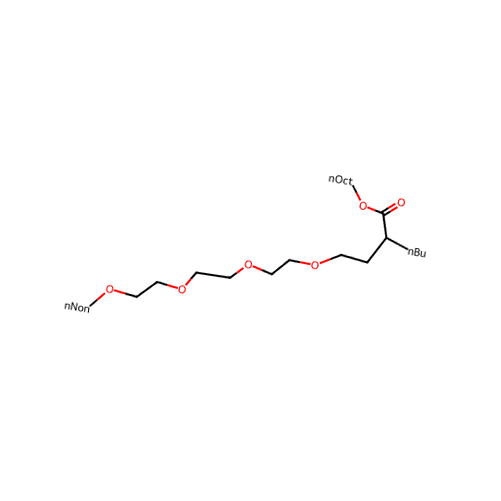 CCCCCCCCCOCCOCCOCCOCCC(CCCC)C(=O)OCCCCCCCC